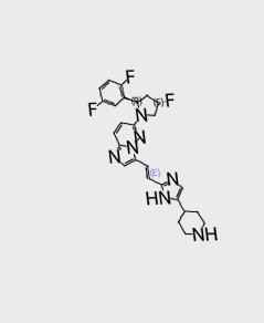 Fc1ccc(F)c([C@H]2C[C@H](F)CN2c2ccc3ncc(/C=C/c4ncc(C5CCNCC5)[nH]4)n3n2)c1